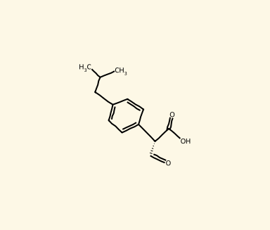 CC(C)Cc1ccc([C@@H](C=O)C(=O)O)cc1